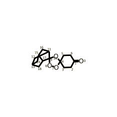 O=C1CCC2(CC1)OOC1(O2)C2CC3CC(C2)C1C3